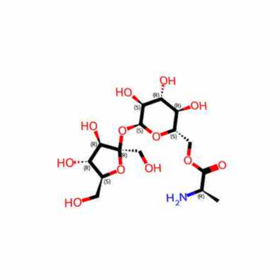 C[C@@H](N)C(=O)OC[C@@H]1O[C@@H](O[C@@]2(CO)O[C@@H](CO)[C@H](O)[C@H]2O)[C@@H](O)[C@H](O)[C@H]1O